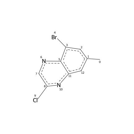 Cc1cc(Br)c2ncc(Cl)nc2c1